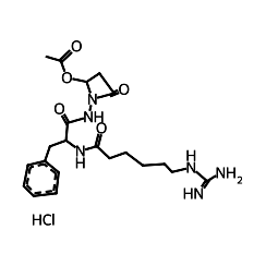 CC(=O)OC1CC(=O)N1NC(=O)C(Cc1ccccc1)NC(=O)CCCCCNC(=N)N.Cl